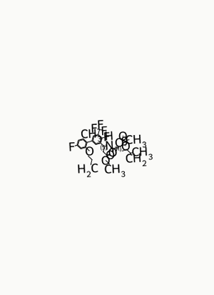 C=CCCOc1cc(F)cc(C)c1-c1cc([C@H](CC(=O)OCC)NC(=O)[C@@H](CCC(=C)C)OS(C)(=O)=O)c(F)c(C(F)(F)F)c1